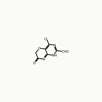 O=CC1=NC(Cl)=C2OCC(=O)N=C2N1